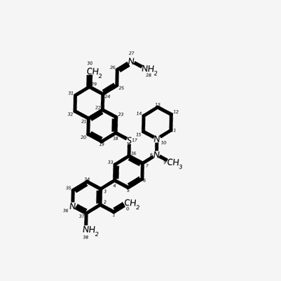 C=Cc1c(-c2ccc(N(C)N3CCCCC3)c(Sc3ccc4c(c3)/C(=C/C=N\N)C(=C)CC4)c2)ccnc1N